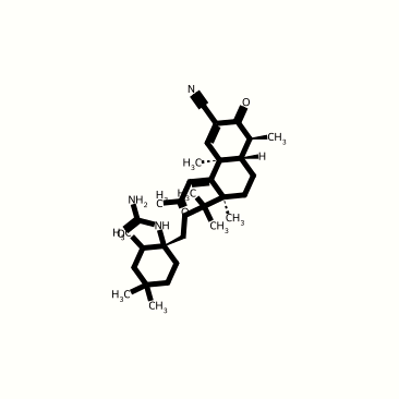 CC(=O)/C=C1/[C@@]2(C)C=C(C#N)C(=O)[C@@H](C)[C@@H]2CC[C@@]1(C)C(C)(C)CC[C@@]1(NC(N)=O)CCC(C)(C)CC1C